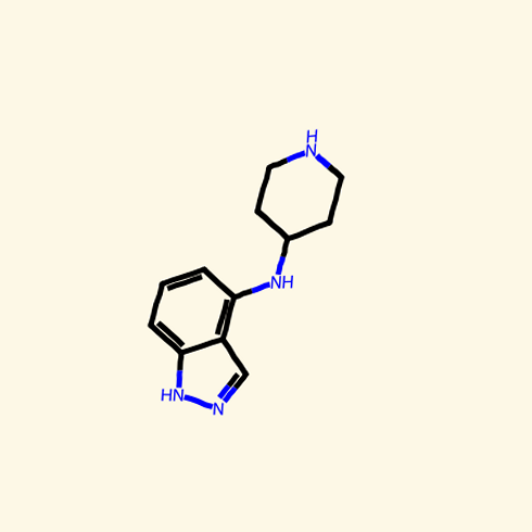 c1cc(NC2CCNCC2)c2cn[nH]c2c1